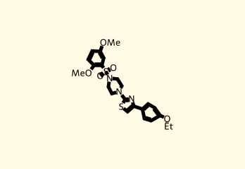 CCOc1ccc(-c2csc(N3CCN(S(=O)(=O)c4cc(OC)ccc4OC)CC3)n2)cc1